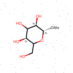 CO[C@@H]1OC(CO)[C@@H](O)C(O)[C@H]1O